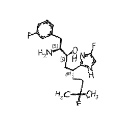 CC(C)(F)CC[C@H](C[C@H](O)[C@@H](N)Cc1cccc(F)c1)c1nc(F)c[nH]1